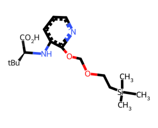 CC(C)(C)[C@H](Nc1cccnc1OCOCC[Si](C)(C)C)C(=O)O